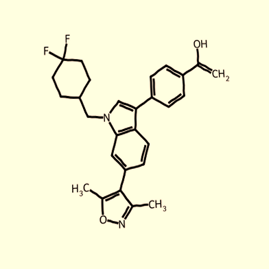 C=C(O)c1ccc(-c2cn(CC3CCC(F)(F)CC3)c3cc(-c4c(C)noc4C)ccc23)cc1